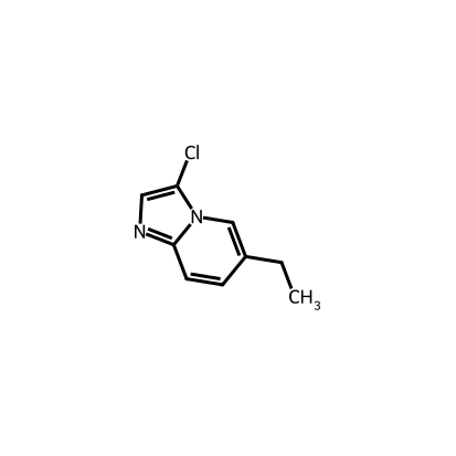 CCc1ccc2ncc(Cl)n2c1